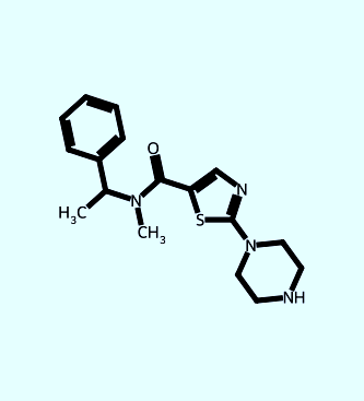 CC(c1ccccc1)N(C)C(=O)c1cnc(N2CCNCC2)s1